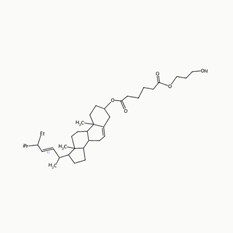 CCC(/C=C/C(C)C1CCC2C3CC=C4CC(OC(=O)CCCCC(=O)OCCCO)CCC4(C)C3CCC12C)C(C)C